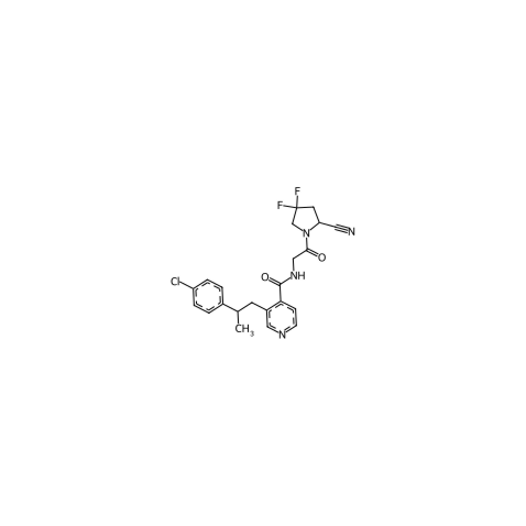 CC(Cc1cnccc1C(=O)NCC(=O)N1CC(F)(F)CC1C#N)c1ccc(Cl)cc1